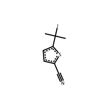 CC(C)(I)c1ccc(C#N)s1